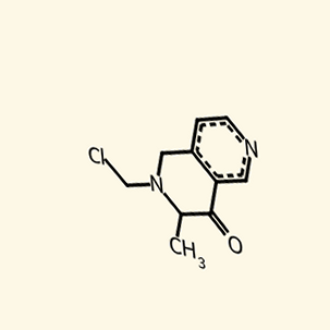 CC1C(=O)c2cnccc2CN1CCl